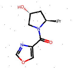 CC(C)[C@@H]1C[C@@H](O)CN1C(=O)c1cocn1